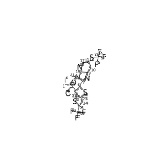 CCS(=O)(=O)c1c(-c2nc3cc(SC(F)(F)F)cnc3n2C)sc2cc(C(F)(F)F)sc12